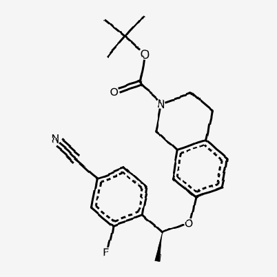 C[C@H](Oc1ccc2c(c1)CN(C(=O)OC(C)(C)C)CC2)c1ccc(C#N)cc1F